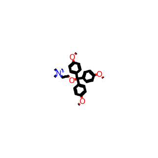 COc1ccc(C(OCC[N+](C)(C)C)(c2ccc(OC)cc2)c2ccc(OC)cc2)cc1